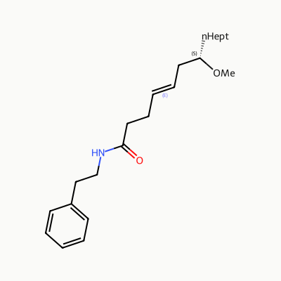 CCCCCCC[C@@H](C/C=C/CCC(=O)NCCc1ccccc1)OC